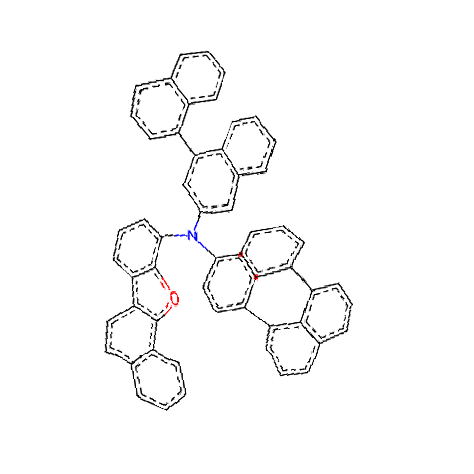 c1ccc(-c2cccc3cccc(-c4ccc(N(c5cc(-c6cccc7ccccc67)c6ccccc6c5)c5cccc6c5oc5c7ccccc7ccc65)cc4)c23)cc1